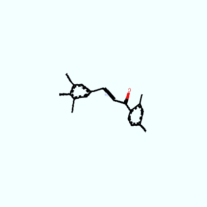 Cc1ccc(C(=O)/C=C/c2cc(C)c(C)c(C)c2)c(C)c1